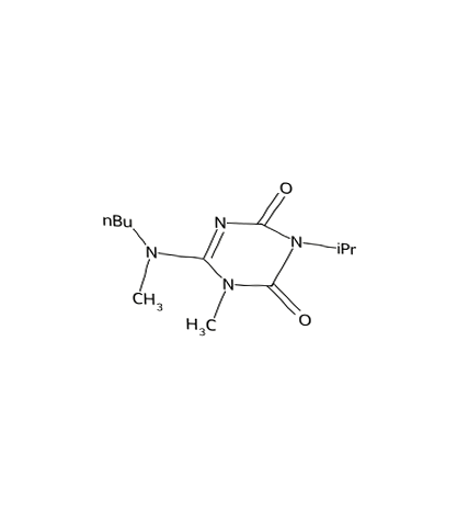 CCCCN(C)c1nc(=O)n(C(C)C)c(=O)n1C